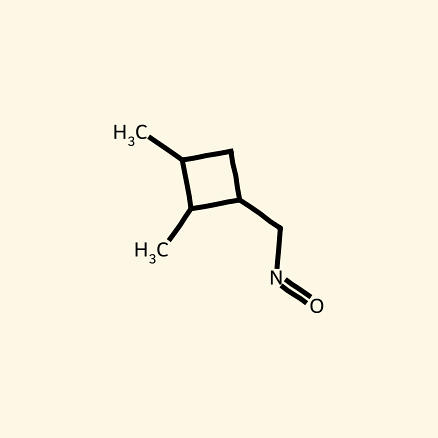 CC1CC(CN=O)C1C